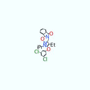 CCc1c(CN2C(=O)c3ccccc3C2=O)nn(C(C)C)c1Oc1cc(Cl)cc(Cl)c1